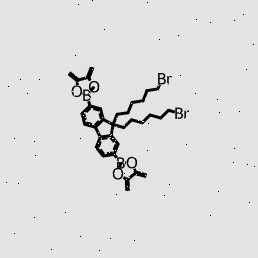 C=C1OB(c2ccc3c(c2)C(CCCCCCBr)(CCCCCCBr)c2cc(B4OC(=C)C(=C)O4)ccc2-3)OC1=C